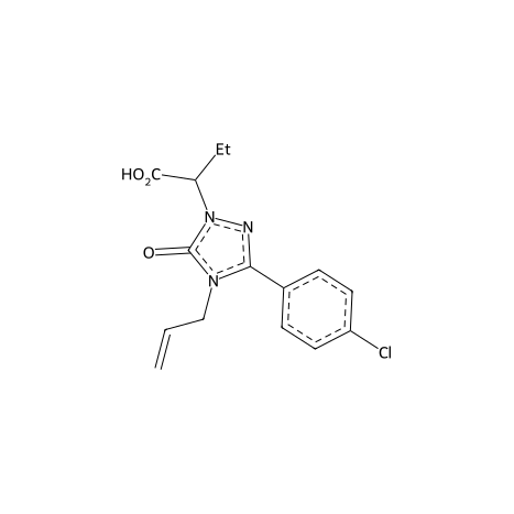 C=CCn1c(-c2ccc(Cl)cc2)nn(C(CC)C(=O)O)c1=O